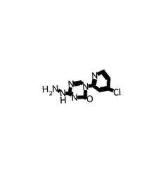 NNc1ncn(-c2cc(Cl)ccn2)c(=O)n1